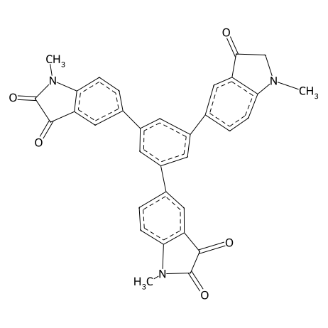 CN1CC(=O)c2cc(-c3cc(-c4ccc5c(c4)C(=O)C(=O)N5C)cc(-c4ccc5c(c4)C(=O)C(=O)N5C)c3)ccc21